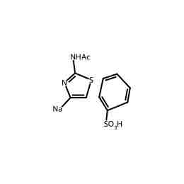 CC(=O)Nc1n[c]([Na])cs1.O=S(=O)(O)c1ccccc1